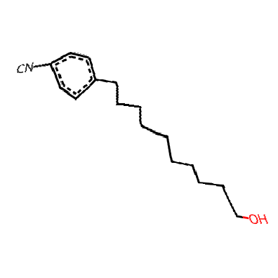 [C-]#[N+]c1ccc(CCCCCCCCCCO)cc1